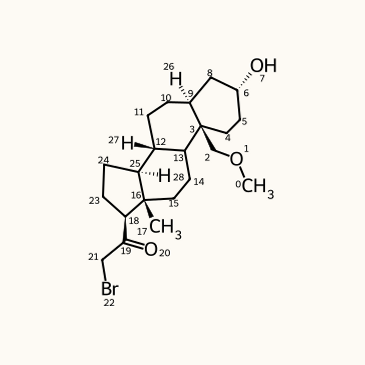 COC[C@]12CC[C@@H](O)C[C@@H]1CC[C@@H]1C2CC[C@]2(C)[C@@H](C(=O)CBr)CC[C@@H]12